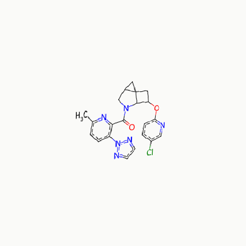 Cc1ccc(-n2nccn2)c(C(=O)N2CC3CC34CC(Oc3ccc(Cl)cn3)C24)n1